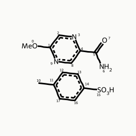 COc1cnc(C(N)=O)cn1.Cc1ccc(S(=O)(=O)O)cc1